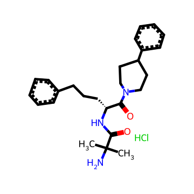 CC(C)(N)C(=O)N[C@H](CCCc1ccccc1)C(=O)N1CCC(c2ccccc2)CC1.Cl